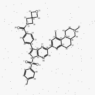 Cc1ccc(S(=O)(=O)n2cc(-c3ccc(C(=O)N4CC5(COC5)C4)cc3)c3nc(-c4cc(C)c5c(c4)CCC4CN(C)CCN54)cnc32)cc1